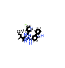 COCC[C@H](C)c1cnn2c(N[C@@H]3CCc4[nH]c5ccccc5c4C3)nc(-c3cncc(F)c3)nc12